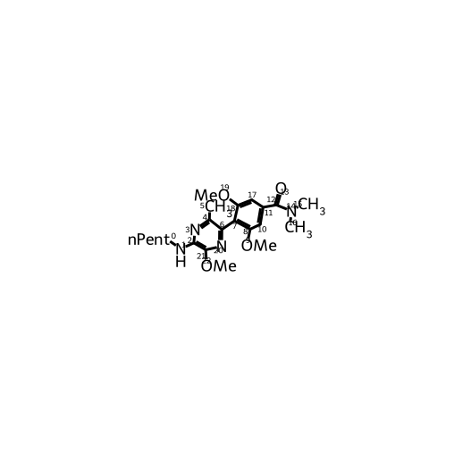 CCCCCNc1nc(C)c(-c2c(OC)cc(C(=O)N(C)C)cc2OC)nc1OC